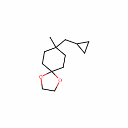 CC1(CC2CC2)CCC2(CC1)OCCO2